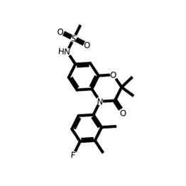 Cc1c(F)ccc(N2C(=O)C(C)(C)Oc3cc(NS(C)(=O)=O)ccc32)c1C